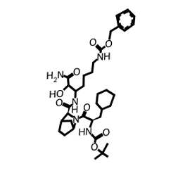 CC(C)(C)OC(=O)N[C@H](CC1CCCCC1)C(=O)N1C2CCC(C2)[C@H]1C(=O)NC(CCCCNC(=O)OCc1ccccc1)C(O)C(N)=O